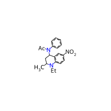 CCN1c2ccc([N+](=O)[O-])cc2C(N(C(C)=O)c2ccccc2)CC1C